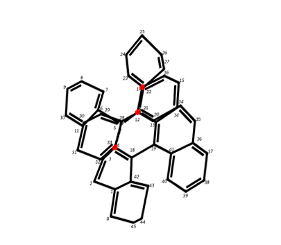 C1=c2ccc(P(c3ccccc3)c3ccccc3)c(-c3c(P(c4ccccc4)c4ccccc4)ccc4ccccc34)c2=CCC1